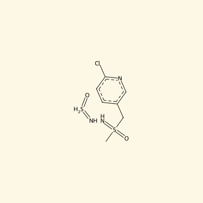 CS(=N)(=O)Cc1ccc(Cl)nc1.N=[SH2]=O